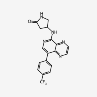 O=C1CC(Nc2ncc(-c3ccc(C(F)(F)F)cc3)c3nccnc23)CN1